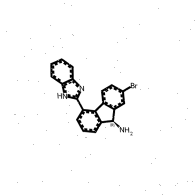 N[C@@H]1c2cc(Br)ccc2-c2c(-c3nc4ccccc4[nH]3)cccc21